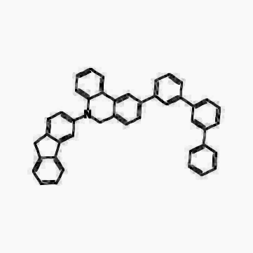 c1ccc(-c2cccc(-c3cccc(-c4ccc5c(c4)-c4ccccc4N(c4ccc6c(c4)-c4ccccc4C6)C5)c3)c2)cc1